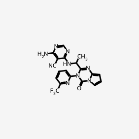 CC(Nc1ncnc(N)c1C#N)c1nc2cccn2c(=O)n1-c1cccc(C(F)(F)F)n1